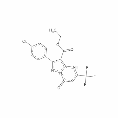 CCOC(=O)c1c(-c2ccc(Cl)cc2)nn2c(=O)cc(C(F)(F)F)[nH]c12